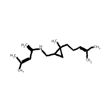 C=C(C=C(C)C)NCC1CC1(C)CCC=C(C)C